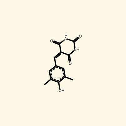 Cc1cc(C=C2C(=O)NC(=O)NC2=O)cc(C)c1O